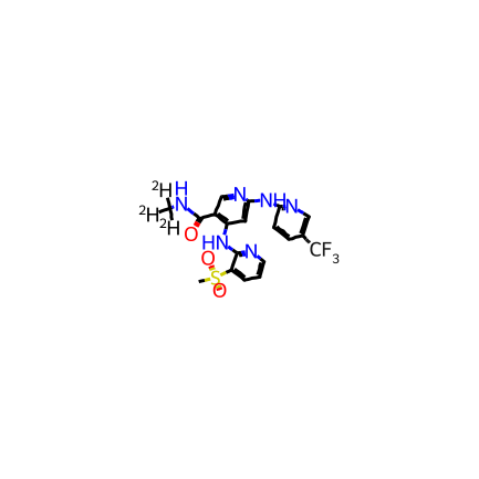 [2H]C([2H])([2H])NC(=O)c1cnc(Nc2ccc(C(F)(F)F)cn2)cc1Nc1ncccc1S(C)(=O)=O